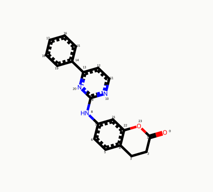 O=C1CCc2ccc(Nc3nccc(-c4ccccc4)n3)cc2O1